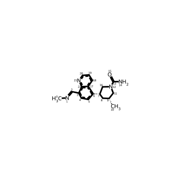 C/N=C/c1ccc([C@H]2C[C@@H](C)CN(C(N)=O)C2)c2cccnc12